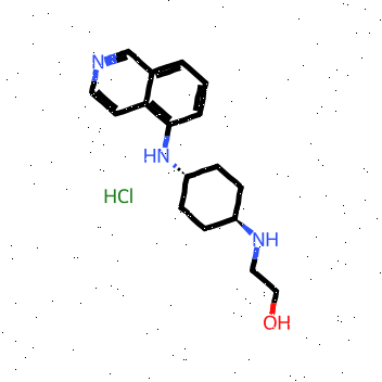 Cl.OCCN[C@H]1CC[C@H](Nc2cccc3cnccc23)CC1